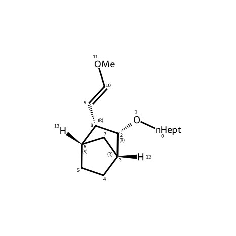 CCCCCCCO[C@@H]1[C@@H]2CC[C@@H](C2)[C@@H]1C=COC